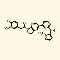 Cn1nccc1Nc1nccc(-c2cnc3c(c2)CCN3C(=O)Cc2ccc(F)c(Cl)c2)n1